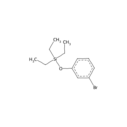 CC[Si](CC)(CC)Oc1cccc(Br)c1